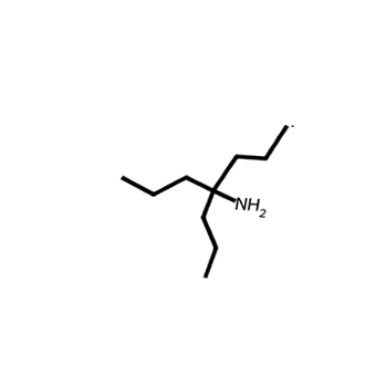 [CH2]CCC(N)(CCC)CCC